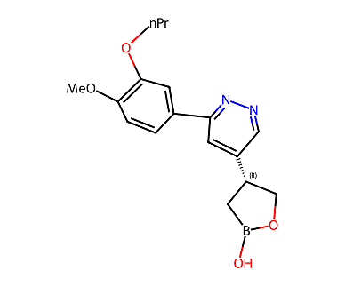 CCCOc1cc(-c2cc([C@@H]3COB(O)C3)cnn2)ccc1OC